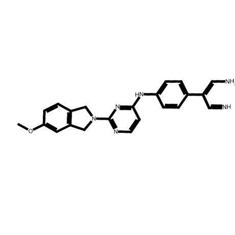 COc1ccc2c(c1)CN(c1nccc(Nc3ccc(/C(C=N)=C/N)cc3)n1)C2